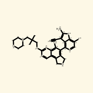 CC(C)(COc1ncc2c3c(c(-c4ncc(F)c5sc(N)c(C#N)c45)c(F)c2n1)COC3)CN1CCOCC1